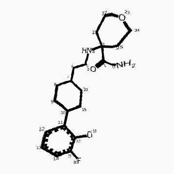 NC(=O)C1(NCCC2CCC(c3cccc(F)c3Cl)CC2)CCOCC1